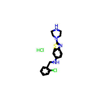 Cl.Clc1ccccc1CNc1ccc2nc(N3CCNCC3)sc2c1